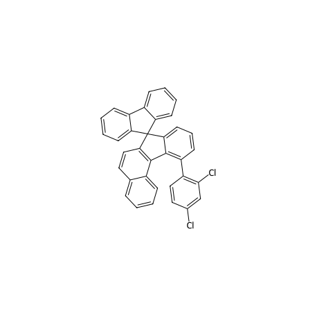 Clc1ccc(-c2cccc3c2-c2c(ccc4ccccc24)C32c3ccccc3-c3ccccc32)c(Cl)c1